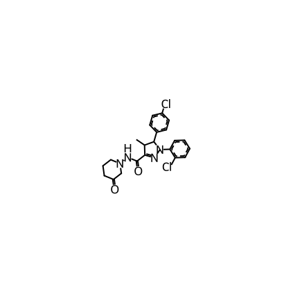 CC1C(C(=O)NN2CCCC(=O)C2)=NN(c2ccccc2Cl)C1c1ccc(Cl)cc1